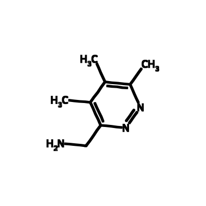 Cc1nnc(CN)c(C)c1C